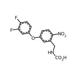 O=C(O)NCc1cc(Oc2ccc(F)c(F)c2)ccc1[N+](=O)[O-]